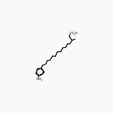 CC(CCCCCCCCCCCCc1ccc([N+](=O)[O-])cc1)CC(=O)O